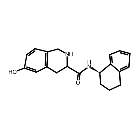 O=C(N[C@@H]1CCCc2ccccc21)C1Cc2cc(O)ccc2CN1